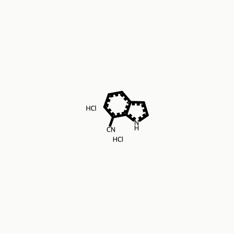 Cl.Cl.N#Cc1cccc2cc[nH]c12